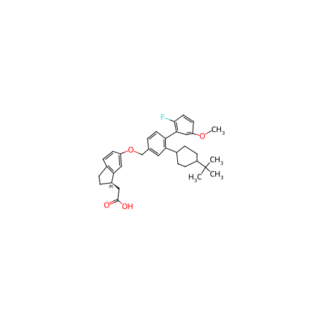 COc1ccc(F)c(-c2ccc(COc3ccc4c(c3)[C@@H](CC(=O)O)CC4)cc2C2CCC(C(C)(C)C)CC2)c1